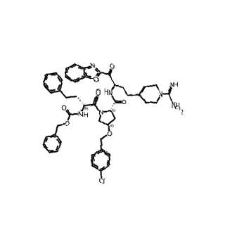 N=C(N)N1CCC(CCC(NC(=O)[C@@H]2C[C@@H](OCc3ccc(Cl)cc3)CN2C(=O)[C@@H](CCc2ccccc2)NC(=O)OCc2ccccc2)C(=O)c2nc3ccccc3o2)CC1